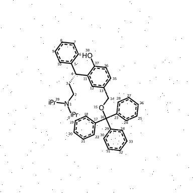 CC(C)N(CC[C@H](c1ccccc1)c1cc(COC(c2ccccc2)(c2ccccc2)c2ccccc2)ccc1O)C(C)C